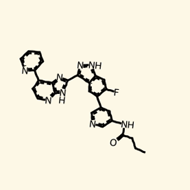 CCCC(=O)Nc1cncc(-c2cc3c(-c4nc5c(-c6ccccn6)ccnc5[nH]4)n[nH]c3cc2F)c1